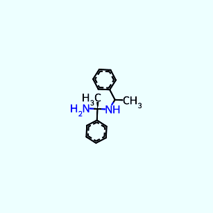 CC(N[C@@](C)(N)c1ccccc1)c1ccccc1